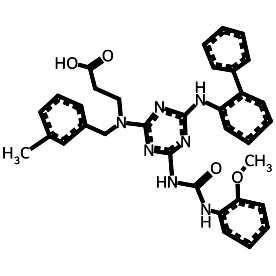 COc1ccccc1NC(=O)Nc1nc(Nc2ccccc2-c2ccccc2)nc(N(CCC(=O)O)Cc2cccc(C)c2)n1